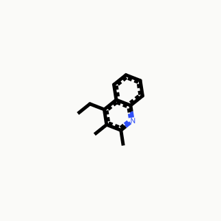 CCc1c(C)c(C)nc2ccccc12